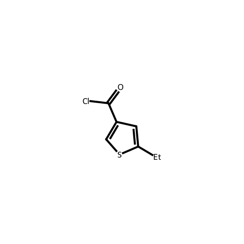 CCc1cc(C(=O)Cl)cs1